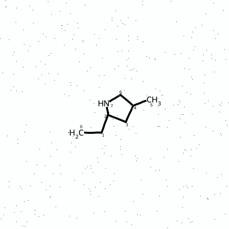 [CH2]CC1CC(C)CN1